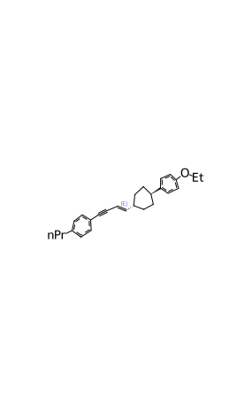 CCCc1ccc(C#C/C=C/[C@H]2CC[C@H](c3ccc(OCC)cc3)CC2)cc1